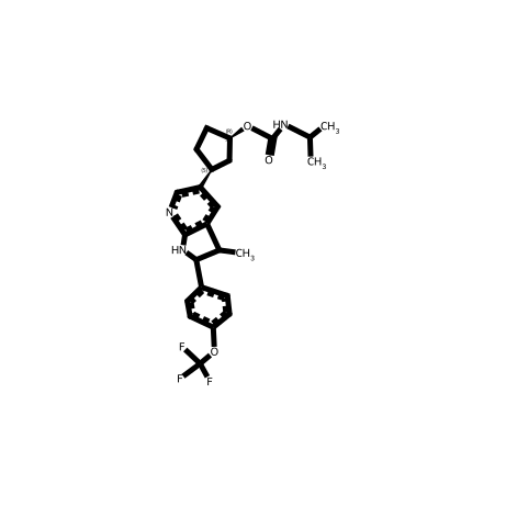 CC(C)NC(=O)O[C@@H]1CC[C@H](c2cnc3c(c2)C(C)C(c2ccc(OC(F)(F)F)cc2)N3)C1